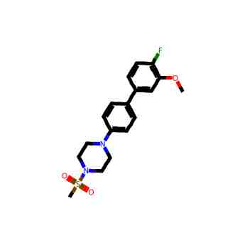 COc1cc(-c2ccc(N3CCN(S(C)(=O)=O)CC3)cc2)ccc1F